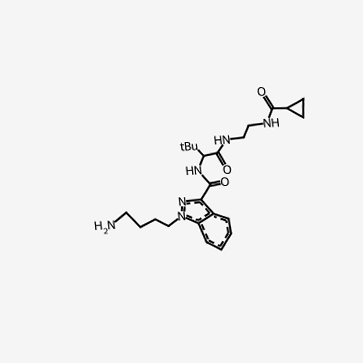 CC(C)(C)C(NC(=O)c1nn(CCCCN)c2ccccc12)C(=O)NCCNC(=O)C1CC1